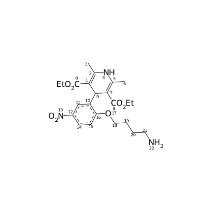 CCOC(=O)C1=C(C)NC(C)=C(C(=O)OCC)C1c1cc([N+](=O)[O-])ccc1OCCCCN